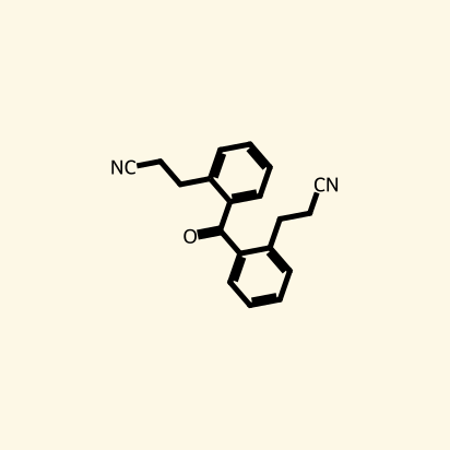 N#CCCc1ccccc1C(=O)c1ccccc1CCC#N